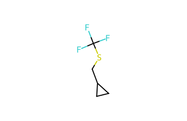 FC(F)(F)SCC1CC1